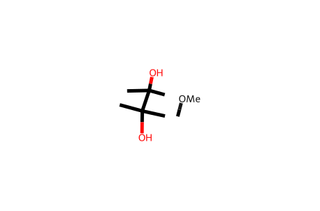 CC(C)(O)C(C)(C)O.COC